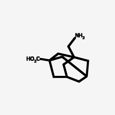 NCC12CC3CC(C1)CC(C(=O)O)(C3)C2